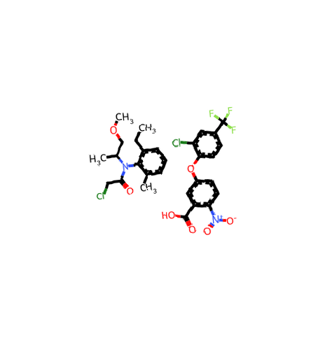 CCc1cccc(C)c1N(C(=O)CCl)C(C)COC.O=C(O)c1cc(Oc2ccc(C(F)(F)F)cc2Cl)ccc1[N+](=O)[O-]